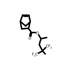 CC(CC(C)(C(F)(F)F)C(F)(F)F)OC(=O)C1CC2C=CC1C2